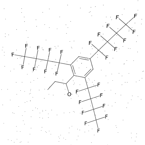 CCC([O])c1c(C(F)(F)C(F)(F)C(F)(F)C(F)(F)F)cc(C(F)(F)C(F)(F)C(F)(F)C(F)(F)F)cc1C(F)(F)C(F)(F)C(F)(F)C(F)(F)F